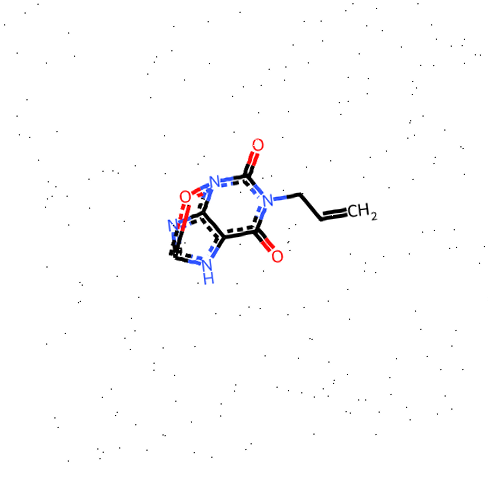 C=CCn1c(=O)c2[nH]c3nc2n(o3)c1=O